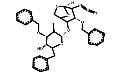 CC1[C@H](OC2C3CO[C@H](O3)C(N=[N+]=[N-])[C@@H]2OCc2ccccc2)OC(Cc2ccccc2)[C@@H](O)[C@H]1OCc1ccccc1